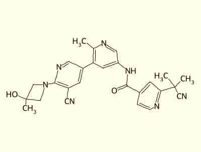 Cc1ncc(NC(=O)c2ccnc(C(C)(C)C#N)c2)cc1-c1cnc(N2CC(C)(O)C2)c(C#N)c1